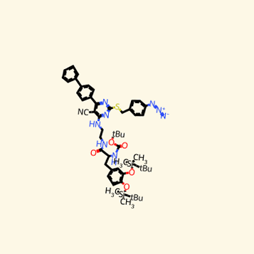 CC(C)(C)OC(=O)NC(Cc1ccc(O[Si](C)(C)C(C)(C)C)c(O[Si](C)(C)C(C)(C)C)c1)C(=O)NCCNc1nc(SCc2ccc(N=[N+]=[N-])cc2)nc(-c2ccc(-c3ccccc3)cc2)c1C#N